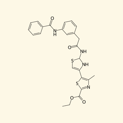 CCOC(=O)c1nc(C)c(C2=CSC(NC(=O)Cc3cccc(NC(=O)c4ccccc4)c3)N2)s1